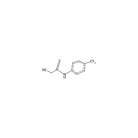 N#CCC(=S)Nc1ccc(C(F)(F)F)cc1